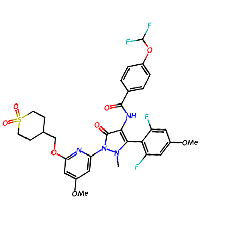 COc1cc(OCC2CCS(=O)(=O)CC2)nc(-n2c(=O)c(NC(=O)c3ccc(OC(F)F)cc3)c(-c3c(F)cc(OC)cc3F)n2C)c1